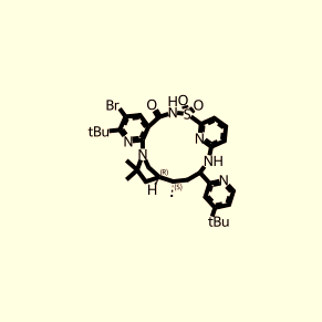 C[C@H]1CC(c2cc(C(C)(C)C)ccn2)Nc2cccc(n2)S(=O)(=O)NC(=O)c2cc(Br)c(C(C)(C)C)nc2N2C[C@@H]1CC2(C)C